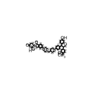 COc1cc(C2COc3cc(O)ccc3C2c2ccc(N3CCC(CN4CCN(c5ccc6c(c5)CN([C@H]5CCC(=O)NC5=O)C6=O)CC4)CC3)cc2)ccc1F